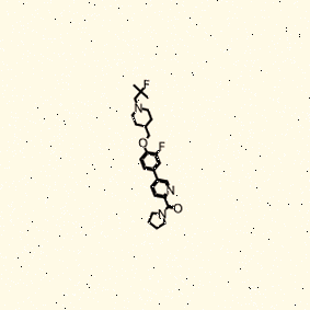 CC(C)(F)CN1CCC(COc2ccc(-c3ccc(C(=O)N4CCCC4)nc3)cc2F)CC1